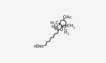 CCCCCCCCCCCCCCCCCC(=O)ON1C(C)(C)CC(OC(C)=O)CC1(C)C